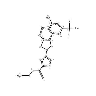 CCOC(=O)c1nnc(N2Cc3ccc4c(O)cc(C(F)(F)F)nc4c3C2)o1